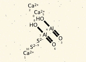 [Ca+2].[Ca+2].[Ca+2].[O]=[Al][OH].[O]=[Al][OH].[S-2].[S-2]